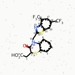 O=C(O)CC1Sc2ccccc2N(Cc2nc3c(C(F)(F)F)cc(C(F)(F)F)cc3s2)C1=O